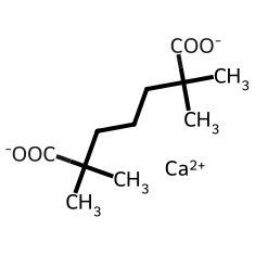 CC(C)(CCCC(C)(C)C(=O)[O-])C(=O)[O-].[Ca+2]